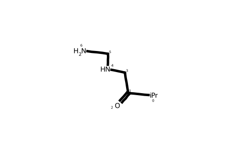 CC(C)C(=O)CNCN